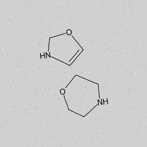 C1=COCN1.C1COCCN1